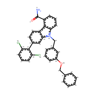 NC(=O)c1cccc2c1c1[c]cc(-c3c(Cl)cccc3Cl)cc1n2Cc1cccc(OCc2ccccc2)c1